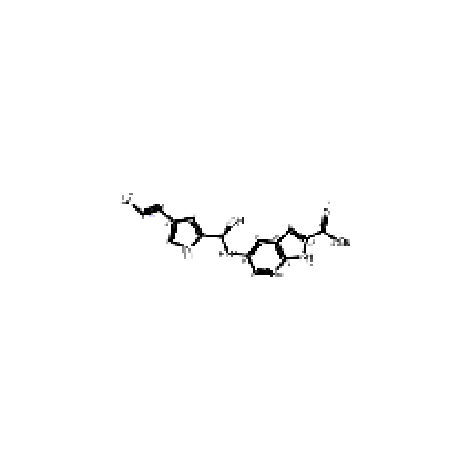 CC(=O)/C=C/c1c[nH]c(C(O)Nc2cnc3[nH]c(C(=O)C(C)(C)C)cc3c2)c1